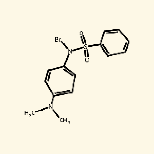 CN(C)c1ccc(N(Br)S(=O)(=O)c2ccccc2)cc1